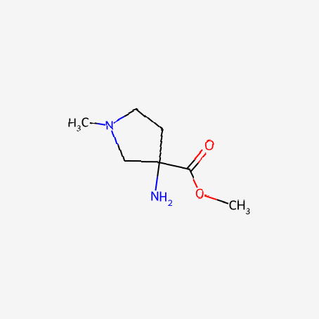 COC(=O)C1(N)CCN(C)C1